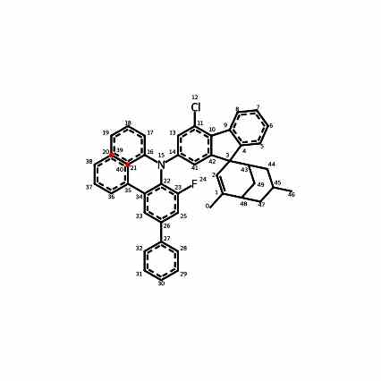 CC1=CC2(c3ccccc3-c3c(Cl)cc(N(c4ccccc4)c4c(F)cc(-c5ccccc5)cc4-c4ccccc4)cc32)C2CC(C)CC1C2